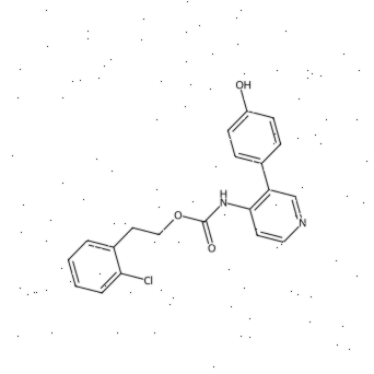 O=C(Nc1ccncc1-c1ccc(O)cc1)OCCc1ccccc1Cl